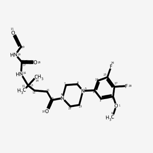 COc1cc(N2CCN(C(=O)CCC(C)(C)NC(=O)NC=O)CC2)cc(F)c1F